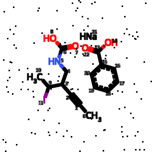 CC#CC(CNC(=O)O)C(C)I.O=C(O)c1ccccc1.[NaH]